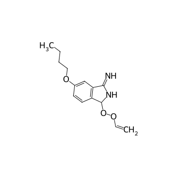 C=COOC1NC(=N)c2cc(OCCCC)ccc21